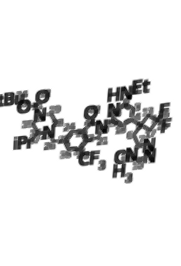 CCNc1cc(C2(Cc3nncn3C)CC(F)(F)C2)cc(N2Cc3c(cc(CN4CCN(C(=O)OC(C)(C)C)CC4C(C)C)cc3C(F)(F)F)C2=O)n1